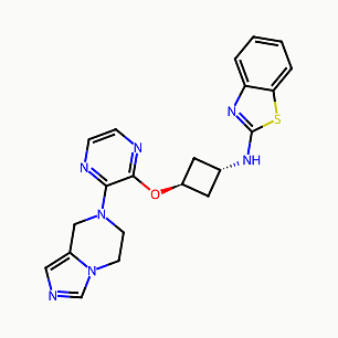 c1ccc2sc(N[C@H]3C[C@H](Oc4nccnc4N4CCn5cncc5C4)C3)nc2c1